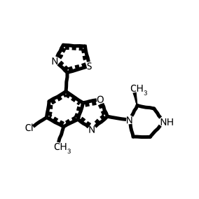 Cc1c(Cl)cc(-c2nccs2)c2oc(N3CCNC[C@@H]3C)nc12